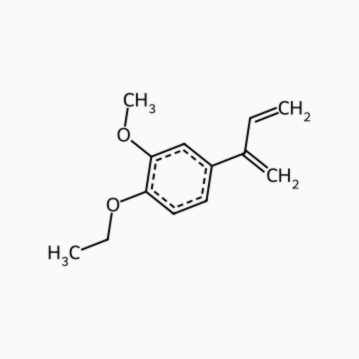 C=CC(=C)c1ccc(OCC)c(OC)c1